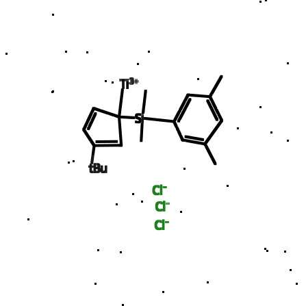 Cc1cc(C)cc([Si](C)(C)[C]2([Ti+3])C=CC(C(C)(C)C)=C2)c1.[Cl-].[Cl-].[Cl-]